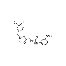 CSc1cccc(NC(=O)NCC2CN(Cc3ccc(Cl)c(Cl)c3)CCO2)c1